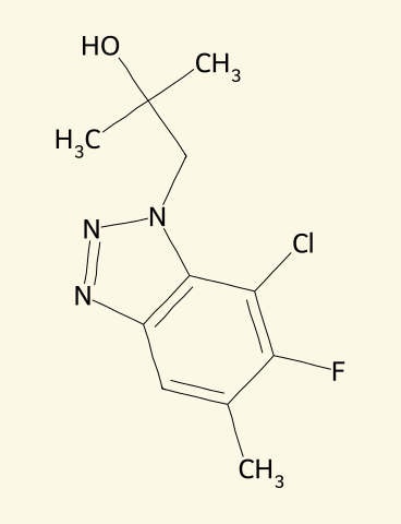 Cc1cc2nnn(CC(C)(C)O)c2c(Cl)c1F